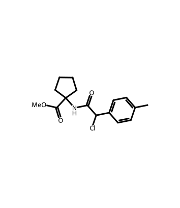 COC(=O)C1(NC(=O)C(Cl)c2ccc(C)cc2)CCCC1